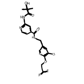 CC(C)(O)C(=O)Nc1cc(C(=O)NCc2cnc(OCC(F)F)c(Cl)c2)ccn1